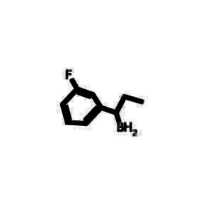 BC(CC)c1cccc(F)c1